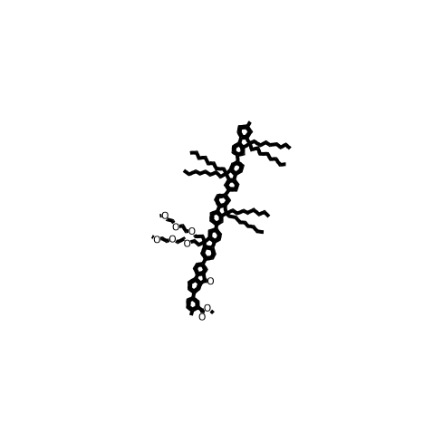 CCCCCCCCC1(CCCCCCCC)c2cc(C)ccc2-c2ccc(-c3ccc4c(c3)C(CCCCCCCC)(CCCCCCCC)c3cc(-c5ccc6c(c5)C(CCCCCCCC)(CCCCCCCC)c5cc(-c7ccc8c(c7)C(CCOCCOCCOC)(CCOCCOCCOC)c7cc(-c9ccc%10c(c9)C(=O)c9cc(-c%11ccc(C)c(C(=O)OC)c%11)ccc9-%10)ccc7-8)ccc5-6)ccc3-4)cc21